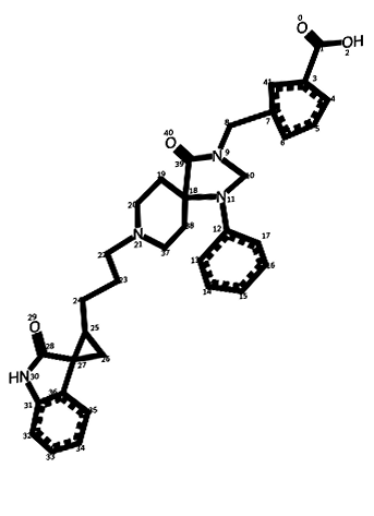 O=C(O)c1cccc(CN2CN(c3ccccc3)C3(CCN(CCCC4CC45C(=O)Nc4ccccc45)CC3)C2=O)c1